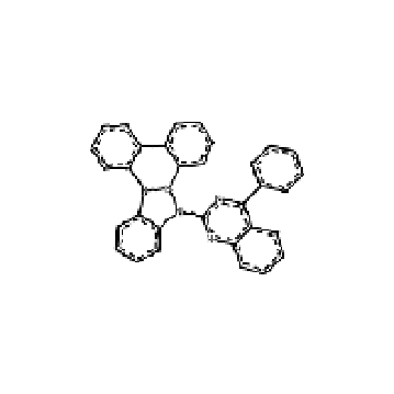 c1ccc(-c2nc(N3B4c5ccccc5-c5ccccc5N4c4ccccc43)nc3ccccc23)cc1